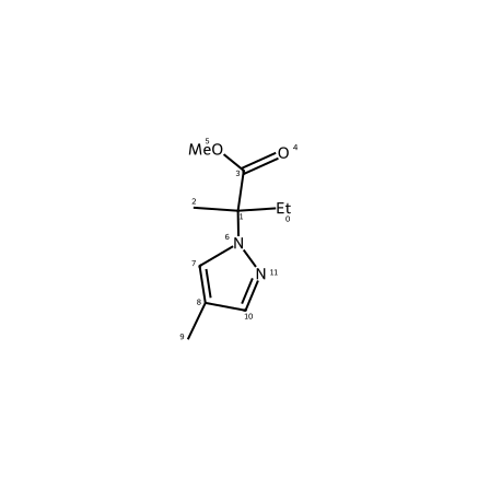 CCC(C)(C(=O)OC)n1cc(C)cn1